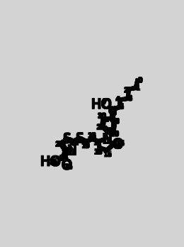 CCCCCC[C@@H](O)c1ccc(N2C(=O)CCC2CCSc2nc(C(=O)O)cs2)cc1